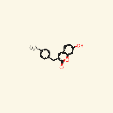 O=c1oc2cc(O)ccc2cc1Cc1ccc([N+](=O)[O-])cc1